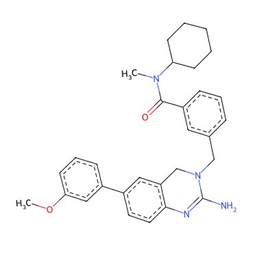 COc1cccc(-c2ccc3c(c2)CN(Cc2cccc(C(=O)N(C)C4CCCCC4)c2)C(N)=N3)c1